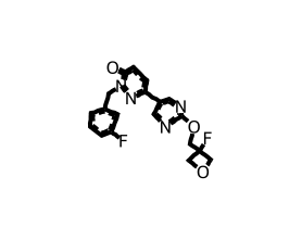 O=c1ccc(-c2cnc(OCC3(F)COC3)nc2)nn1Cc1cccc(F)c1